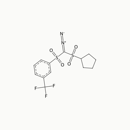 [N-]=[N+]=C(S(=O)(=O)c1cccc(C(F)(F)F)c1)S(=O)(=O)C1CCCC1